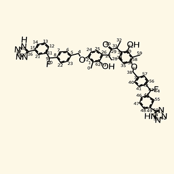 Cc1c(OCc2ccc(C(F)c3cccc(-c4nnn[nH]4)c3)cc2)ccc(C(C)C(=O)C(C)c2ccc(OCc3ccc(C(F)c4cccc(-c5nnn[nH]5)c4)cc3)c(C)c2O)c1O